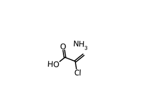 C=C(Cl)C(=O)O.N